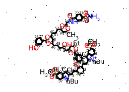 CCCCN1/C(=C/C=C2\CCCC(/C=C/C3=[N+](CCCC)c4ccc(S(C)(=O)=O)cc4C3(C)C)=C2Oc2cccc(C3OC(CC)CC(CC(O)CCCC4CC(CCCC5CC(C)OC(CNC(=O)c6ccc(S(N)(=O)=O)cc6)O5)OC(c5cccc(O)c5)O4)O3)c2)C(C)(C)c2cc(S(C)(=O)=O)ccc21